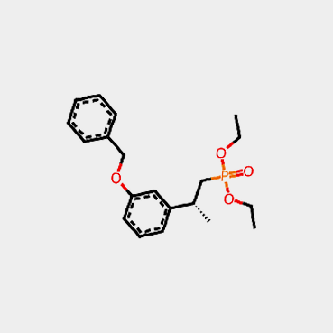 CCOP(=O)(C[C@H](C)c1cccc(OCc2ccccc2)c1)OCC